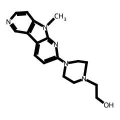 Cn1c2ccncc2c2ccc(N3CCN(CCO)CC3)nc21